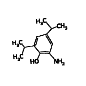 CC(C)c1cc(N)c(O)c(C(C)C)c1